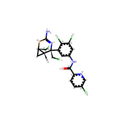 NC1=N[C@](CF)(c2cc(NC(=O)c3ccc(Cl)cn3)cc(F)c2F)[C@@H]2C[C@]2(CF)S1